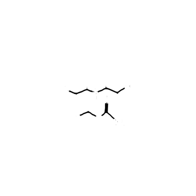 CCOC(N)=O.OCCNCCO